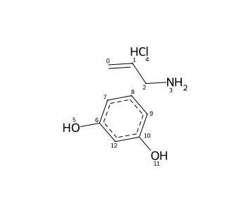 C=CCN.Cl.Oc1cccc(O)c1